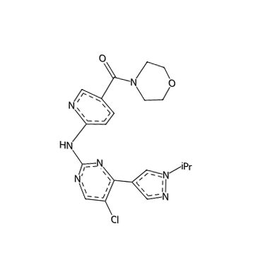 CC(C)n1cc(-c2nc(Nc3ccc(C(=O)N4CCOCC4)cn3)ncc2Cl)cn1